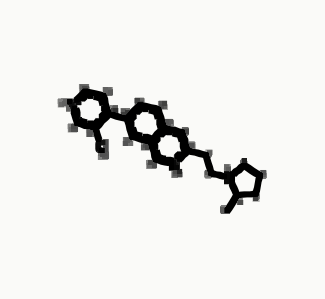 CC1CCCN1CCc1cc2ccc(-c3ccncc3Cl)cc2cn1